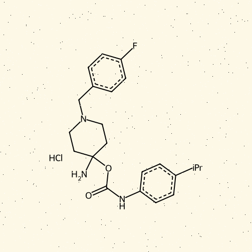 CC(C)c1ccc(NC(=O)OC2(N)CCN(Cc3ccc(F)cc3)CC2)cc1.Cl